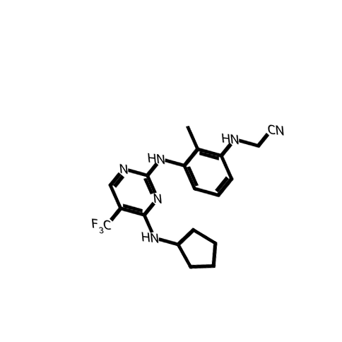 Cc1c(NCC#N)cccc1Nc1ncc(C(F)(F)F)c(NC2CCCC2)n1